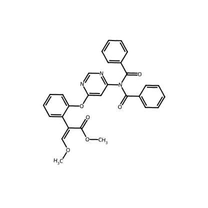 COC=C(C(=O)OC)c1ccccc1Oc1cc(N(C(=O)c2ccccc2)C(=O)c2ccccc2)ncn1